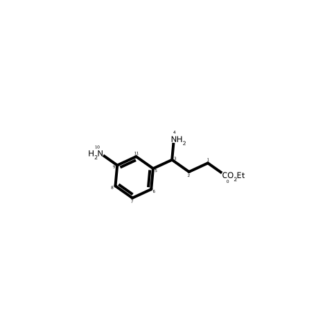 CCOC(=O)CCC(N)c1cccc(N)c1